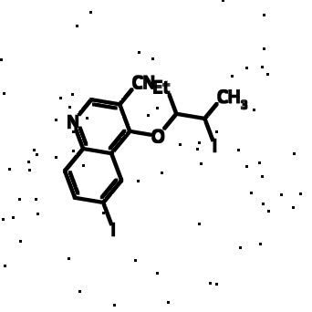 CCC(Oc1c(C#N)cnc2ccc(I)cc12)C(C)I